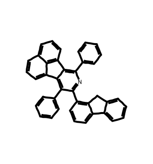 c1ccc(-c2nc(-c3cccc4c3Cc3ccccc3-4)c(-c3ccccc3)c3c2-c2cccc4cccc-3c24)cc1